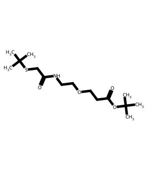 CC(C)(C)OC(=O)CCOCCNC(=O)CSC(C)(C)C